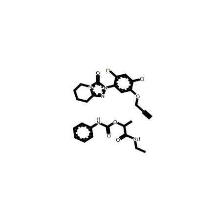 C#CCOc1cc(-n2nc3n(c2=O)CCCC3)c(Cl)cc1Cl.CCNC(=O)C(C)OC(=O)Nc1ccccc1